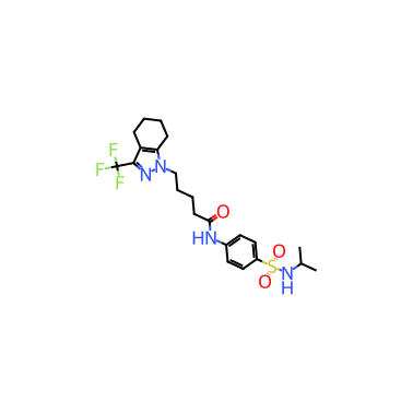 CC(C)NS(=O)(=O)c1ccc(NC(=O)CCCCn2nc(C(F)(F)F)c3c2CCCC3)cc1